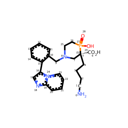 NCCCC[C@@]1(C(=O)O)CN(Cc2ccccc2-c2cnc3ccccn23)CCP1(=O)O